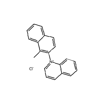 Cc1c(-[n+]2cccc3ccccc32)ccc2ccccc12.[Cl-]